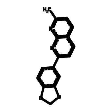 Cc1ccc2ccc(-c3ccc4c(c3)OCO4)nc2n1